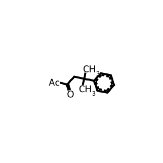 CC(=O)C(=O)CC(C)(C)c1ccccc1